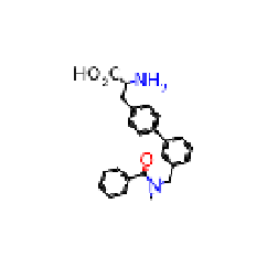 CN(Cc1cccc(-c2ccc(CC(N)C(=O)O)cc2)c1)C(=O)c1ccccc1